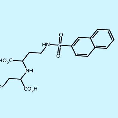 CC(C)CC(NC(CCNS(=O)(=O)c1ccc2ccccc2c1)C(=O)O)C(=O)O